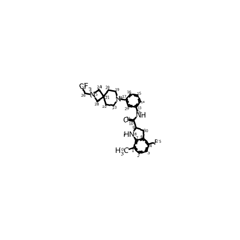 Cc1ccc(F)c2c1NC(C(=O)Nc1cccc(N3CCC4(CC3)CN(CC(F)(F)F)C4)c1)C2